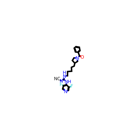 N#CN=C(NCCCCCC1CCN(C(=O)c2ccccc2)C1)Nc1c(F)cncc1F